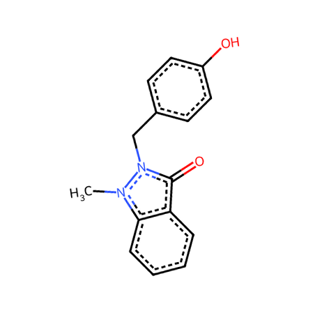 Cn1c2ccccc2c(=O)n1Cc1ccc(O)cc1